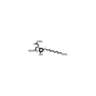 CCCCCCCCCCCCCCCCCCOc1cc(O)cc(N(CC(=O)OC)CC(=O)OC)c1